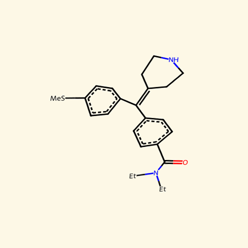 CCN(CC)C(=O)c1ccc(C(=C2CCNCC2)c2ccc(SC)cc2)cc1